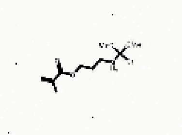 C=C(C)C(=O)OCCC[SiH2]C(CC)(OC)OC